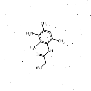 Cc1cc(C)c(NC(=O)CC(C)(C)C)c(C)c1N